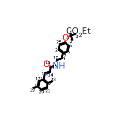 CCOC(=O)C(C)(C)Oc1ccc(CCNC(=O)/C=C/c2cc(C)ccc2C)cc1